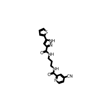 N#Cc1ccnc(C(=O)NCCCNC(=O)c2cc(-c3cccs3)[nH]n2)c1